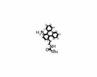 CC(C)(C)C(=O)NCCc1ccc(N)c(-c2ccccc2)c1-c1ccccc1